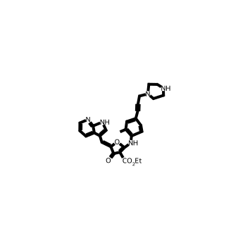 CCOC(=O)C1=C(Nc2ccc(C#CCN3CCNCC3)cc2C)O/C(=C\c2c[nH]c3ncccc23)C1=O